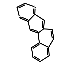 c1ccc2c(c1)ccc1cc3nccnc3cc12